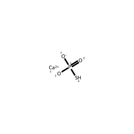 O=P([O-])([O-])S.[Ca+2]